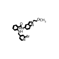 COCCn1cc2cc(NC(=O)c3ccccc3NCc3ccnc(Br)c3)ccc2n1